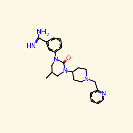 CC1CN(c2cccc(C(=N)N)c2)C(=O)N(C2CCN(Cc3ccccn3)CC2)C1